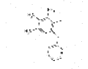 Cc1c(Cc2ccccc2)cc(N)c(N)c1N